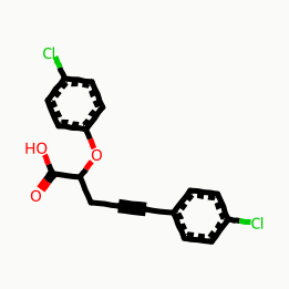 O=C(O)C(CC#Cc1ccc(Cl)cc1)Oc1ccc(Cl)cc1